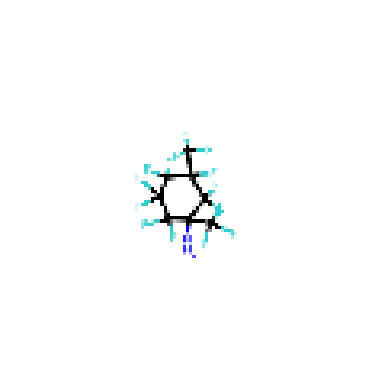 NC1(C(F)(F)F)C(F)(F)C(F)(F)C(F)(F)C(F)(C(F)(F)F)C1(F)F